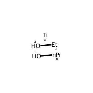 CCCO.CCO.[Ti]